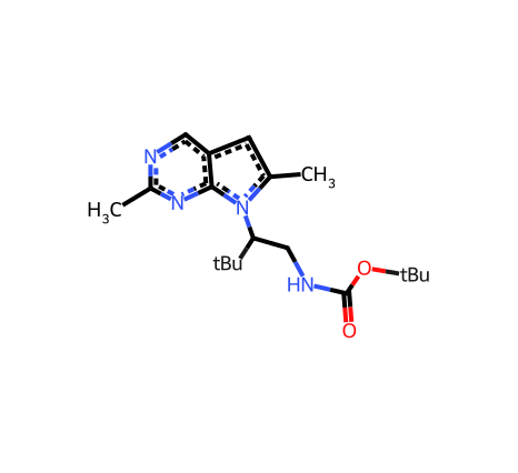 Cc1ncc2cc(C)n(C(CNC(=O)OC(C)(C)C)C(C)(C)C)c2n1